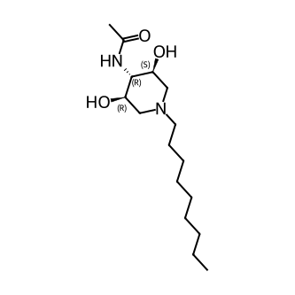 CCCCCCCCCN1C[C@@H](O)[C@H](NC(C)=O)[C@@H](O)C1